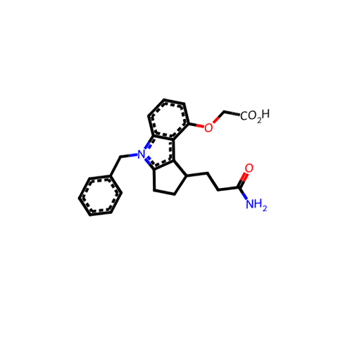 NC(=O)CCC1CCc2c1c1c(OCC(=O)O)cccc1n2Cc1ccccc1